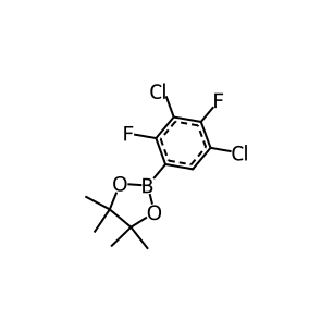 CC1(C)OB(c2cc(Cl)c(F)c(Cl)c2F)OC1(C)C